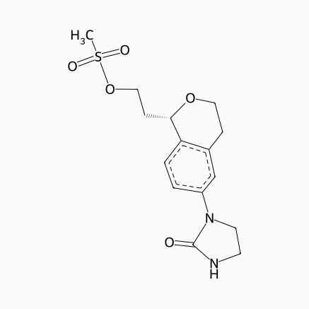 CS(=O)(=O)OCC[C@@H]1OCCc2cc(N3CCNC3=O)ccc21